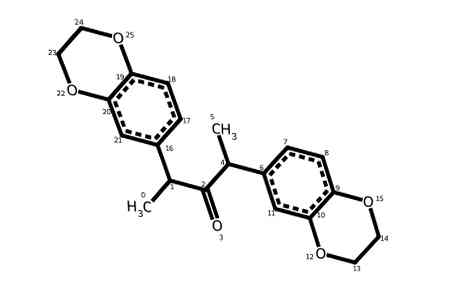 CC(C(=O)C(C)c1ccc2c(c1)OCCO2)c1ccc2c(c1)OCCO2